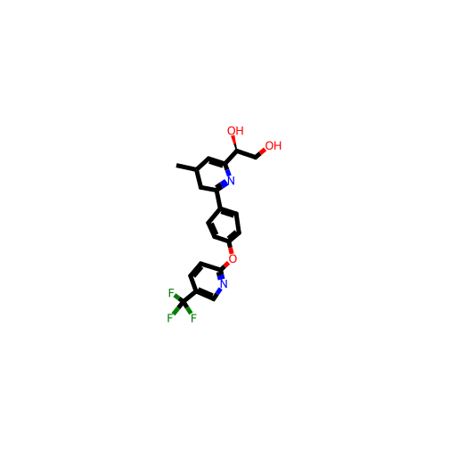 CC1C=C([C@@H](O)CO)N=C(c2ccc(Oc3ccc(C(F)(F)F)cn3)cc2)C1